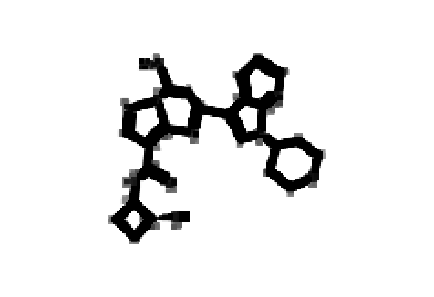 CNc1cc(-c2cn(C3CCOCC3)c3ncccc23)nc2c(C(=O)NC3CC[C@H]3O)cnn12